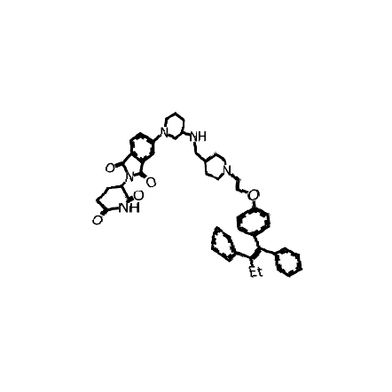 CCC(=C(c1ccccc1)c1ccc(OCCN2CCC(CNC3CCCN(c4ccc5c(c4)C(=O)N(C4CCC(=O)NC4=O)C5=O)C3)CC2)cc1)c1ccccc1